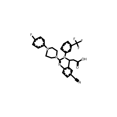 N#Cc1ccc2c(c1)C(CC(=O)O)N(c1cccc(C(F)(F)F)c1)C(N1CCN(c3ccc(F)cc3)CC1)=N2